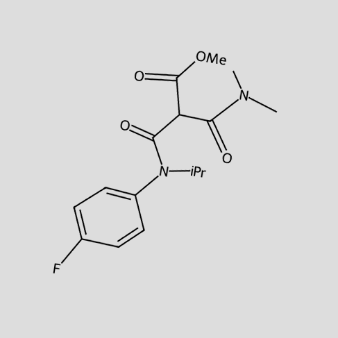 COC(=O)C(C(=O)N(C)C)C(=O)N(c1ccc(F)cc1)C(C)C